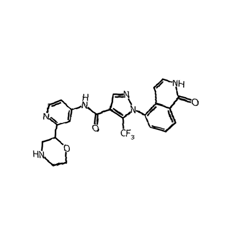 O=C(Nc1ccnc(C2CNCCO2)c1)c1cnn(-c2cccc3c(=O)[nH]ccc23)c1C(F)(F)F